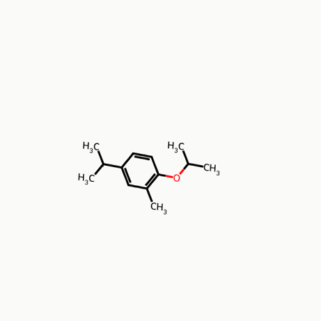 C[C](C)c1ccc(OC(C)C)c(C)c1